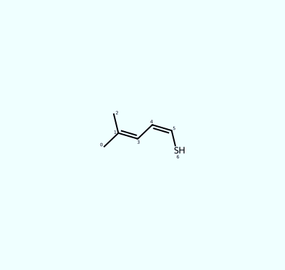 CC(C)=C/C=C\S